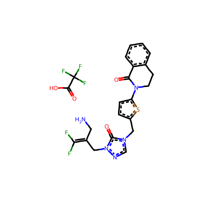 NCC(Cn1ncn(Cc2ccc(N3CCc4ccccc4C3=O)s2)c1=O)=C(F)F.O=C(O)C(F)(F)F